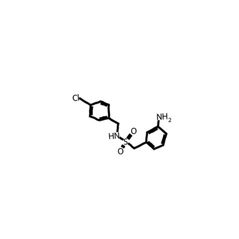 Nc1cccc(CS(=O)(=O)NCc2ccc(Cl)cc2)c1